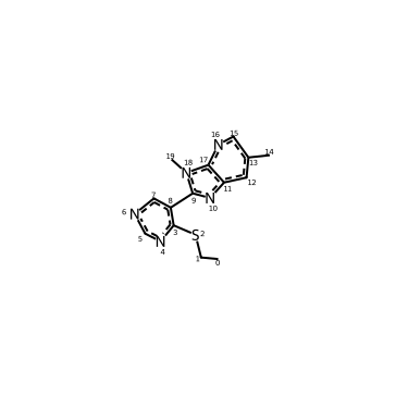 CCSc1ncncc1-c1nc2cc(C)cnc2n1C